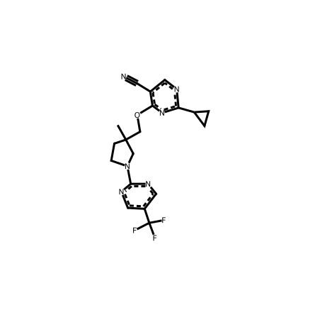 CC1(COc2nc(C3CC3)ncc2C#N)CCN(c2ncc(C(F)(F)F)cn2)C1